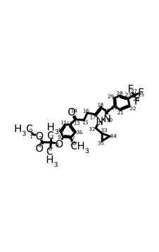 CCOC(=O)C(C)(C)Oc1ccc(C(=O)CCc2cc(-c3ccc(C(F)(F)F)cc3)nn2CC2CC2)cc1C